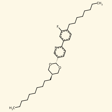 CCCCCCCCCC[C@H]1CO[C@H](c2ccc(-c3ccc(CCCCCCCC)c(F)c3)nc2)OC1